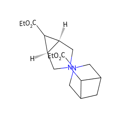 CCOC(=O)C1[C@H]2CN(C3C4CC3CN(C(=O)OCC)C4)C[C@@H]12